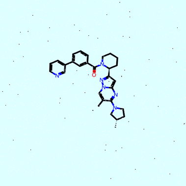 Cc1cn2nc([C@@H]3CCCCN3C(=O)c3cccc(-c4cccnc4)c3)cc2nc1N1CC[C@H](C)C1